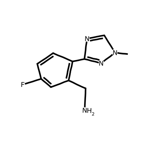 Cn1cnc(-c2ccc(F)cc2CN)n1